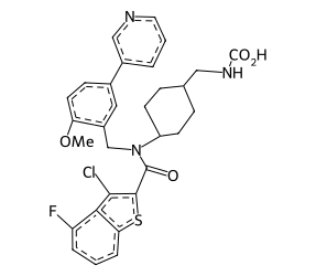 COc1ccc(-c2cccnc2)cc1CN(C(=O)c1sc2cccc(F)c2c1Cl)C1CCC(CNC(=O)O)CC1